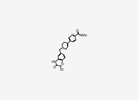 CCC1Oc2ccc(CN3CC=C(c4ccc(C(=O)NC)nc4)CC3)cc2NC1=O